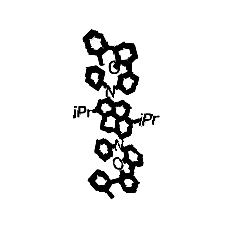 Cc1ccccc1-c1cccc2c1oc1c(N(c3ccccc3)c3cc(C(C)C)c4ccc5c(N(c6ccccc6)c6cccc7c6oc6c(-c8ccccc8C)cccc67)cc(C(C)C)c6ccc3c4c65)cccc12